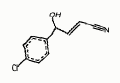 N#CC=CC(O)c1ccc(Cl)cc1